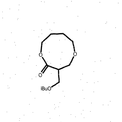 CC(C)COCC1COCCCCOC1=O